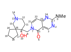 CNc1ncc2c(=O)n(CC3(O)CCN(C)CC34CCCC4)ccc2n1